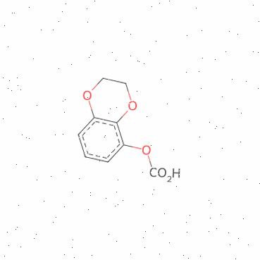 O=C(O)Oc1cccc2c1OCCO2